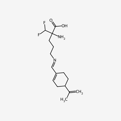 C=C(C)C1CC=C(C=NCCCC(N)(C(=O)O)C(F)F)CC1